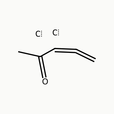 C=C=CC(C)=O.[C].[C]